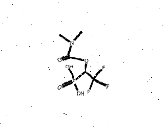 CN(C)C(=O)O[C@@H](C(F)(F)F)P(=O)(O)O